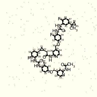 CC(=O)Nc1cc(COc2ccc(NC(=O)Nc3cc(C4CC4CC(=O)Nc4cc(COc5ccc(NC(=O)Nc6cc(C7(C)CC7)ccc6F)c(F)c5)ccn4)ccc3F)c(F)c2)ccn1